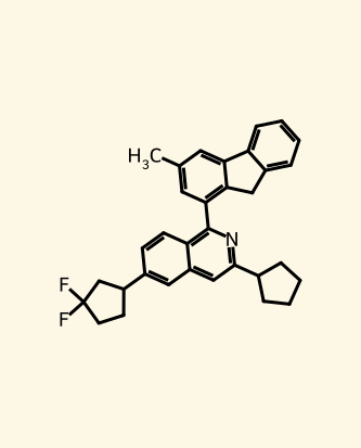 Cc1cc2c(c(-c3nc(C4CCCC4)cc4cc(C5CCC(F)(F)C5)ccc34)c1)Cc1ccccc1-2